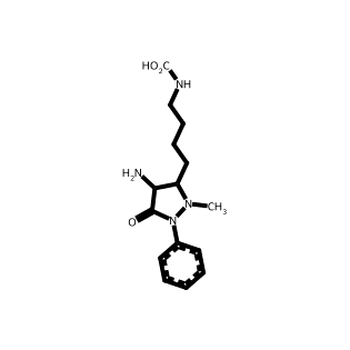 CN1C(CCCCNC(=O)O)C(N)C(=O)N1c1ccccc1